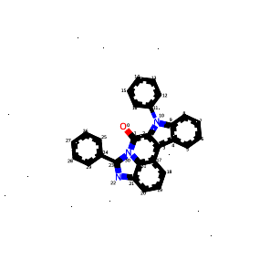 O=c1c2c(c3ccccc3n2-c2ccccc2)c2cccc3nc(-c4ccccc4)n1c32